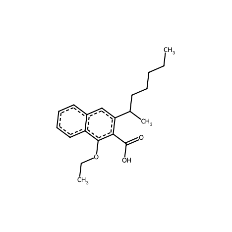 CCCCCC(C)c1cc2ccccc2c(OCC)c1C(=O)O